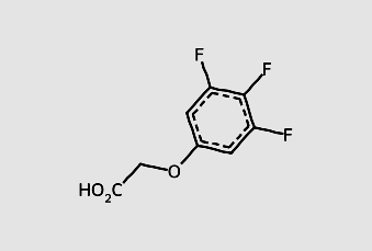 O=C(O)COc1cc(F)c(F)c(F)c1